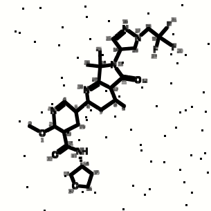 COC1N=CC(C2CC(C)C3C(=O)N(C4C=NN(CC(F)(F)F)C4)C(C)(C)C3=N2)CC1C(=O)N[C@@H]1CCOC1